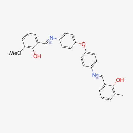 COc1cccc(/C=N/c2ccc(Oc3ccc(/N=C/c4cccc(C)c4O)cc3)cc2)c1O